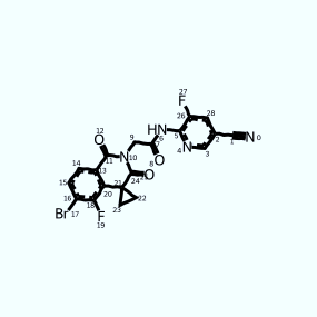 N#Cc1cnc(NC(=O)CN2C(=O)c3ccc(Br)c(F)c3C3(CC3)C2=O)c(F)c1